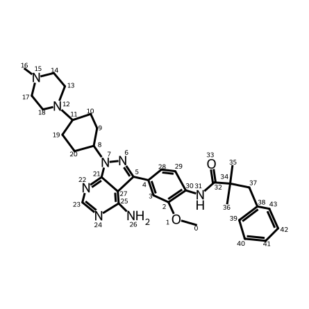 COc1cc(-c2nn(C3CCC(N4CCN(C)CC4)CC3)c3ncnc(N)c23)ccc1NC(=O)C(C)(C)Cc1ccccc1